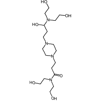 O=C(CCN1CCN(CCC(O)N(CCO)CCO)CC1)N(CCO)CCO